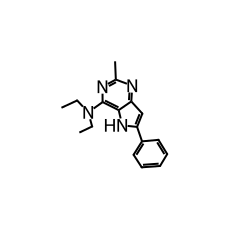 CCN(CC)c1nc(C)nc2cc(-c3ccccc3)[nH]c12